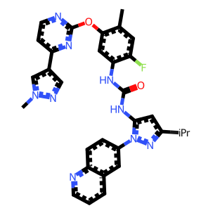 Cc1cc(F)c(NC(=O)Nc2cc(C(C)C)nn2-c2ccc3ncccc3c2)cc1Oc1nccc(-c2cnn(C)c2)n1